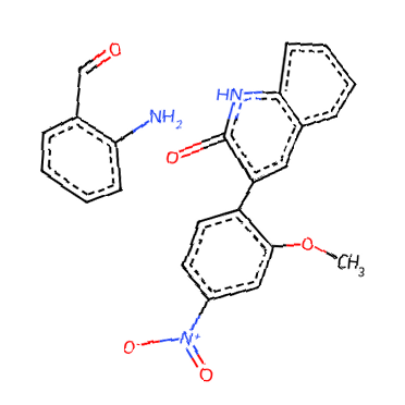 COc1cc([N+](=O)[O-])ccc1-c1cc2ccccc2[nH]c1=O.Nc1ccccc1C=O